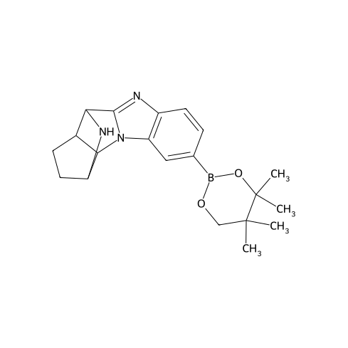 CC1(C)COB(c2ccc3nc4n(c3c2)C2C3CCC2C4N3)OC1(C)C